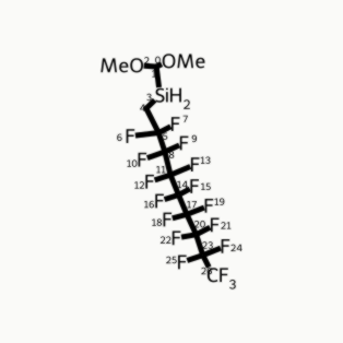 COC(OC)[SiH2]CC(F)(F)C(F)(F)C(F)(F)C(F)(F)C(F)(F)C(F)(F)C(F)(F)C(F)(F)F